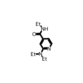 CCNC(=O)c1ccnc(N(CC)CC)c1